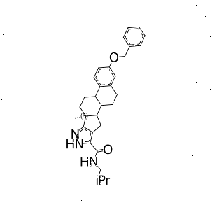 CC(C)CNC(=O)c1[nH]nc2c1CC1C3CCc4cc(OCc5ccccc5)ccc4C3CC[C@]21C